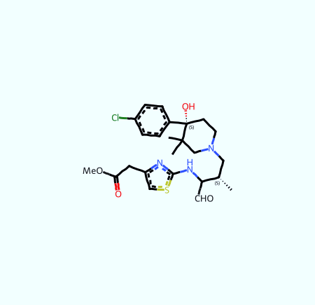 COC(=O)Cc1csc(NC(C=O)[C@@H](C)CN2CC[C@](O)(c3ccc(Cl)cc3)C(C)(C)C2)n1